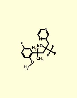 COc1ccc(F)cc1C(C)(C)CC(O)(Cc1cnccn1)C(F)(F)F